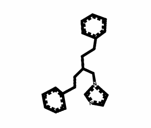 c1ccc(CCC(CCc2ccccc2)Cn2ccnc2)cc1